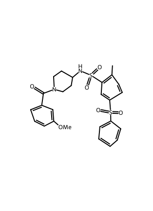 COc1cccc(C(=O)N2CCC(NS(=O)(=O)c3cc(S(=O)(=O)c4ccccc4)ccc3C)CC2)c1